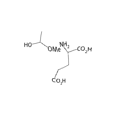 COC(C)O.NC(CCC(=O)O)C(=O)O